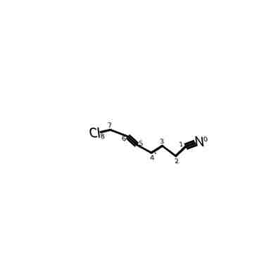 N#CCC[CH]C#CCCl